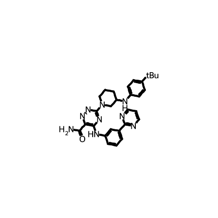 CC(C)(C)c1ccc(NC2CCCN(c3nnc(C(N)=O)c(Nc4cccc(-c5ncccn5)c4)n3)C2)cc1